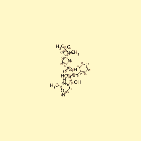 CC(=O)N[C@H](CC#N)[C@@H](O)[C@H](O)[C@H](Cc1ccccc1)NC(=O)c1csc(N(C)S(C)(=O)=O)n1